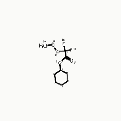 O=C(OC1CCCCC1)C(F)(F)SOO